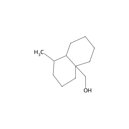 CC1CCCC2(CO)CCCCC12